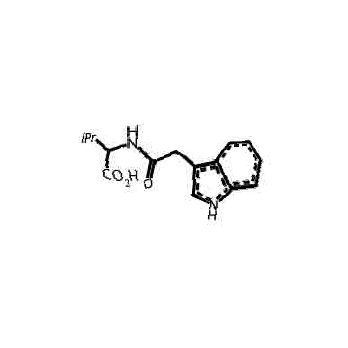 CC(C)C(NC(=O)Cc1c[nH]c2ccccc12)C(=O)O